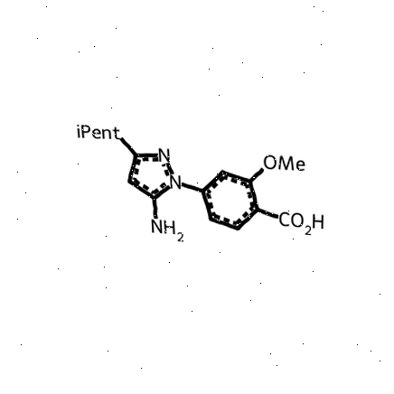 CCCC(C)c1cc(N)n(-c2ccc(C(=O)O)c(OC)c2)n1